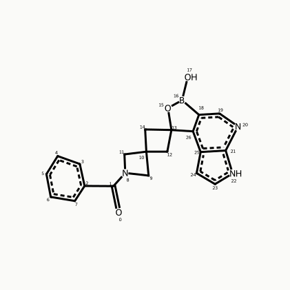 O=C(c1ccccc1)N1CC2(C1)CC1(C2)OB(O)c2cnc3[nH]ccc3c21